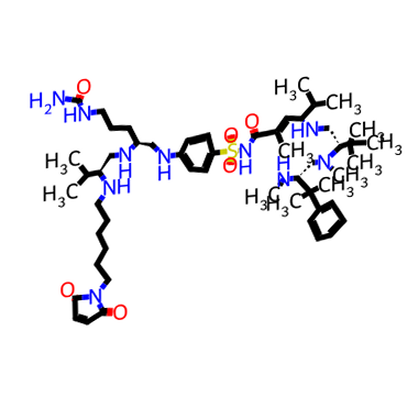 CN[C@H](CN(C)[C@H](CN[C@H](/C=C(\C)C(=O)NS(=O)(=O)c1ccc(NC[C@H](CCCNC(N)=O)NC[C@@H](NCCCCCCN2C(=O)C=CC2=O)C(C)C)cc1)C(C)C)C(C)(C)C)C(C)(C)c1ccccc1